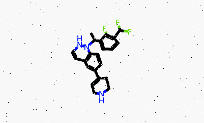 CC(c1cccc(C(F)F)c1F)N1NC=Cc2cc(C3=CCNCC3)ccc21